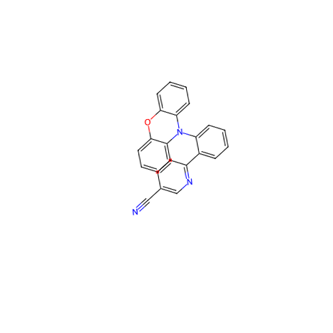 N#Cc1ccc(-c2ccccc2N2c3ccccc3Oc3ccccc32)nc1